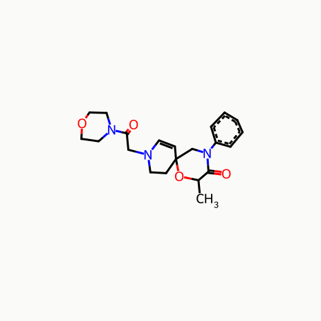 CC1OC2(C=CN(CC(=O)N3CCOCC3)CC2)CN(c2ccccc2)C1=O